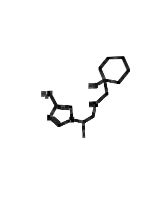 CC(CNCC1(O)CCCCC1)n1cnc(N)c1